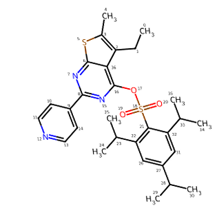 CCc1c(C)sc2nc(-c3ccncc3)nc(OS(=O)(=O)c3c(C(C)C)cc(C(C)C)cc3C(C)C)c12